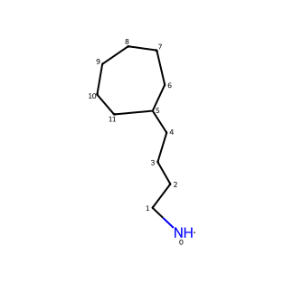 [NH]CCCCC1CCCCCC1